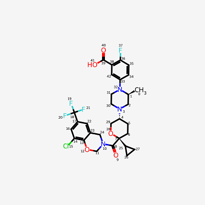 C[C@H]1CN([C@@H]2CC[C@@](C(=O)N3COc4c(Cl)cc(C(F)(F)F)cc4C3)(C3CC3)OC2)CCN1c1ccc(F)c(C(=O)O)c1